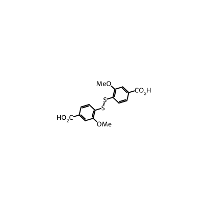 COc1cc(C(=O)O)ccc1SSc1ccc(C(=O)O)cc1OC